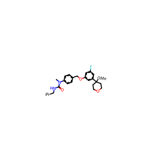 COC1(c2cc(F)cc(OCc3ccc(N(C)C(=O)NCC(C)C)cc3)c2)CCOCC1